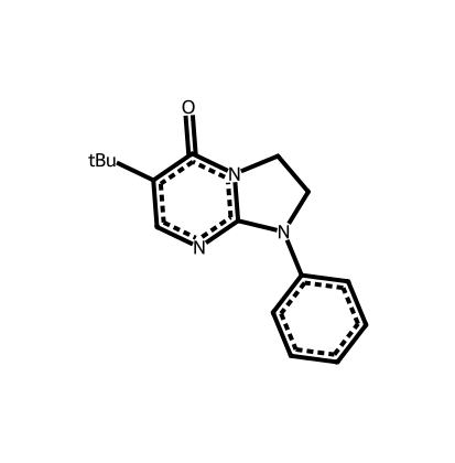 CC(C)(C)c1cnc2n(c1=O)CCN2c1ccccc1